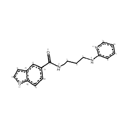 O=C(NCCCNc1ccccn1)c1ccc2o[c]cc2c1